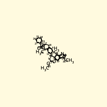 CCOC(=O)C[C@@H](c1ccc2c(c1)C1(C)CCC(C2)N1C(=O)c1ccccc1)c1ccc2c(nnn2CC)c1C